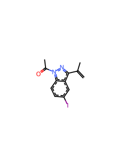 C=C(C)c1nn(C(C)=O)c2ccc(I)cc12